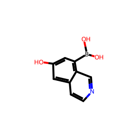 OB(O)c1cc(O)cc2ccncc12